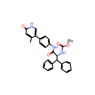 Cc1cc(=O)[nH]cc1-c1ccc(NC(=O)[C@@H](NC(=O)OC(C)(C)C)C(c2ccccc2)c2ccccc2)cc1